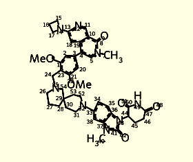 COc1cc(-c2cn(C)c(=O)c3cnc(N4CCC4)cc23)cc(OC)c1CN1CCCC2(CCN(c3ccc4c(c3)n(C)c(=O)n4C3CCC(=O)NC3=O)CC2)C1